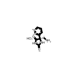 Cl.NC[C@]1(c2cccnn2)NC(=O)NC1=O